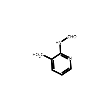 O=[C]Nc1ncccc1C(=O)O